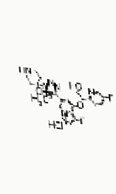 Cc1c(-c2cc(OC(CO)c3ccc(F)cn3)c3c(F)cnn3c2)nnn1C1(C)CCNCC1.Cl